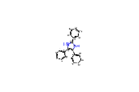 C1=CC(C2=C(c3ccccc3)NC(c3ccccc3)N2)=CCC1